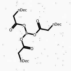 CCCCCCCCCCCC(=O)OB(OC(=O)CCCCCCCCCCC)OC(=O)CCCCCCCCCCC